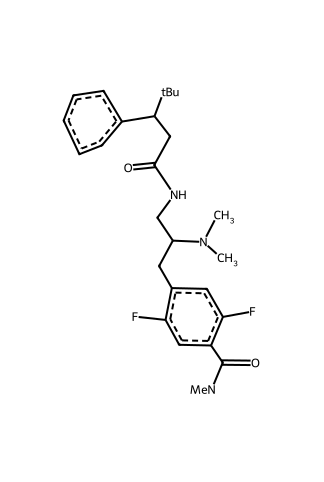 CNC(=O)c1cc(F)c(CC(CNC(=O)CC(c2ccccc2)C(C)(C)C)N(C)C)cc1F